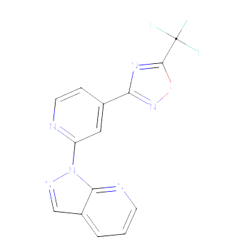 FC(F)(F)c1nc(-c2ccnc(-n3ncc4cccnc43)c2)no1